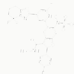 CNC(=O)c1c(-c2ccc(F)cc2)oc2cc(N(C)S(C)(=O)=O)c(-c3cc(F)cc(-c4nc5c(o4)CCCC5(F)F)c3)cc12